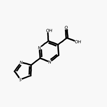 O=C(O)c1cnc(-c2cscn2)nc1O